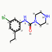 CCc1cc(Br)cc(NC(=O)N2CCNCC2)c1